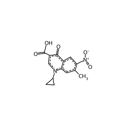 Cc1cc2c(cc1[N+](=O)[O-])c(=O)c(C(=O)O)cn2C1CC1